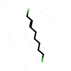 BrCC=CCCCCCBr